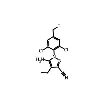 CCc1c(C#N)nn(-c2c(Cl)cc(CF)cc2Cl)c1N